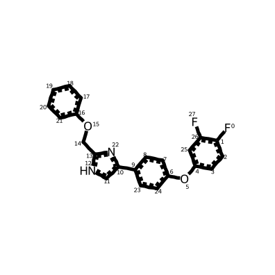 Fc1ccc(Oc2ccc(-c3c[nH]c(COc4ccccc4)n3)cc2)cc1F